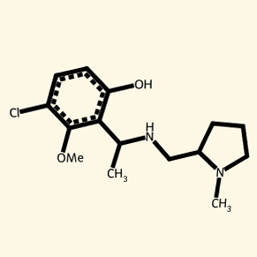 COc1c(Cl)ccc(O)c1C(C)NCC1CCCN1C